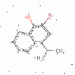 CC(C)c1cc(Br)c(O)c2ccccc12